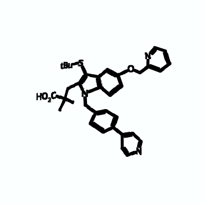 CC(C)(C)Sc1c(CC(C)(C)C(=O)O)n(Cc2ccc(-c3ccncc3)cc2)c2ccc(OCc3ccccn3)cc12